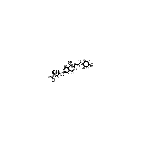 CC(=O)N(O)CCOc1ccc2c(c1)CCN(CCCc1ccc(F)cc1)C2=O